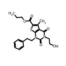 CCCOC(=O)c1sc2c(c1C)c(=O)n(CCO)c(=O)n2CCc1ccccc1